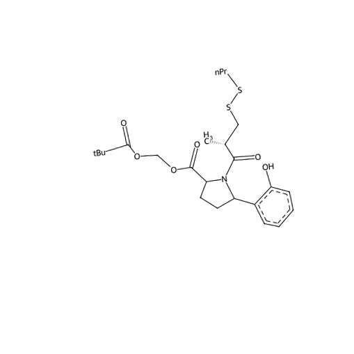 CCCSSC[C@@H](C)C(=O)N1C(C(=O)OCOC(=O)C(C)(C)C)CCC1c1ccccc1O